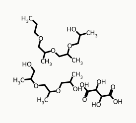 CC(O)COC(C)COC(C)CO.CCCOCC(C)OCC(C)OCC(C)O.O=C(O)C(O)C(O)C(=O)O